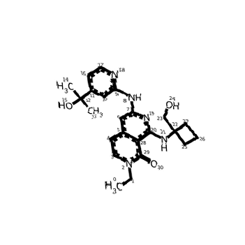 CCn1ccc2cc(Nc3cc(C(C)(C)O)ccn3)nc(NC3(CO)CCC3)c2c1=O